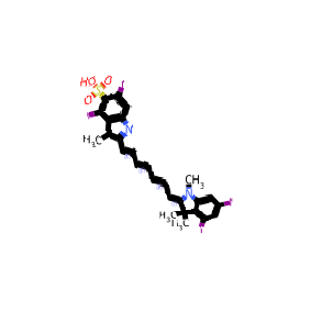 CC1C(/C=C/C=C/C=C/C=C2\N(C)c3cc(I)cc(I)c3C2(C)C)=Nc2cc(I)c(S(=O)(=O)O)c(I)c21